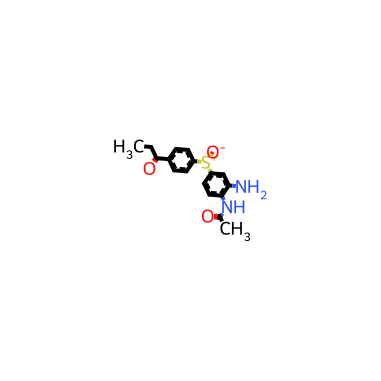 CCC(=O)c1ccc([S+]([O-])c2ccc(NC(C)=O)c(N)c2)cc1